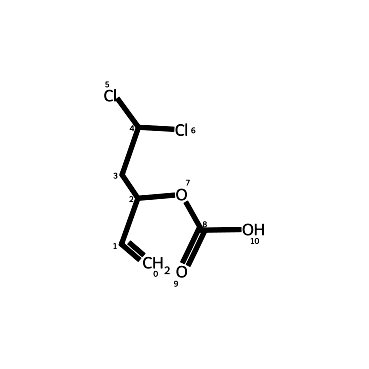 C=CC(CC(Cl)Cl)OC(=O)O